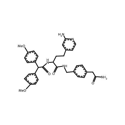 COc1ccc(C(C(=O)NC(CCc2ccnc(N)c2)C(=O)NCc2ccc(CC(N)=O)cc2)c2ccc(OC)cc2)cc1